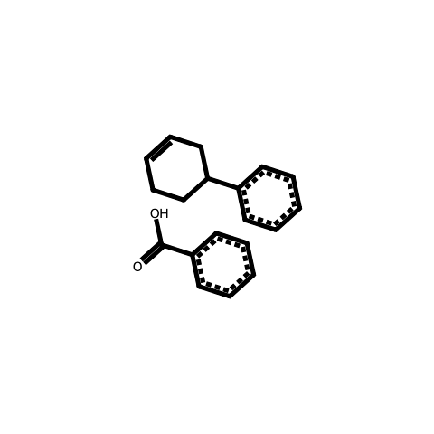 C1=CCC(c2ccccc2)CC1.O=C(O)c1ccccc1